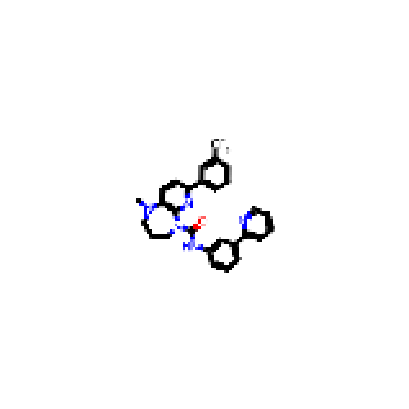 CN1CCCN(C(=O)Nc2cccc(-c3ccccn3)c2)c2nc(-c3cccc(C(F)(F)F)c3)ccc21